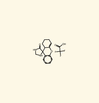 O=C(O)C(F)(F)F.O=C1NCNC12c1ccccc1OC1=CCCCC12